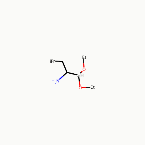 CCO[SiH](OCC)C(N)CC(C)C